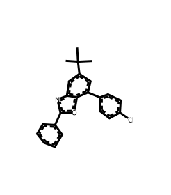 CC(C)(C)c1cc(-c2ccc(Cl)cc2)c2oc(-c3ccccc3)nc2c1